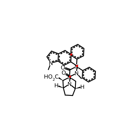 CN(Cc1ccc2ccn(C)c2c1)C(=O)N1[C@H]2CC[C@@H]1[C@@H](C(=O)O)N(C(=O)N(c1ccccc1)c1ccccc1)C2